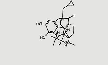 CO[C@]12CC[C@@]3(C[C@@H]1[C@](C)(O)C(C)(C)C)[C@H]1Cc4ccc(O)c5c4[C@@]3(CCN1CC1CC1)[C@H]2O5.Cl